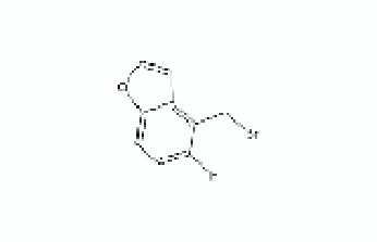 Fc1ccc2occc2c1CBr